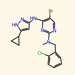 CN(Cc1ccccc1Cl)c1ncc(Br)c(Nc2cc(C3CC3)[nH]n2)n1